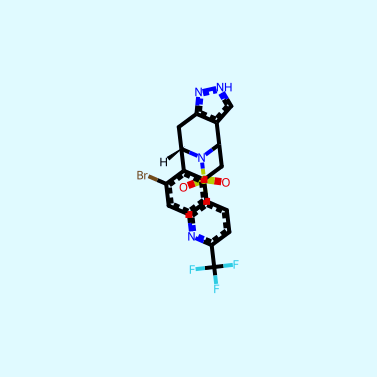 O=S(=O)(c1ccc(C(F)(F)F)nc1)N1C2Cc3cccc(Br)c3[C@@H]1Cc1n[nH]cc12